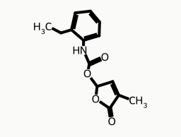 CCc1ccccc1NC(=O)OC1C=C(C)C(=O)O1